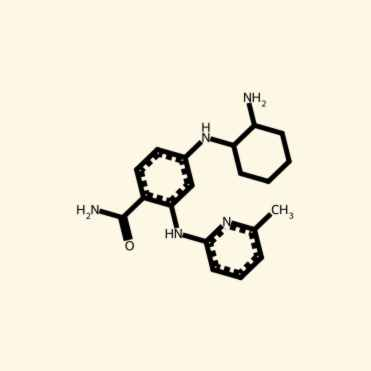 Cc1cccc(Nc2cc(NC3CCCCC3N)ccc2C(N)=O)n1